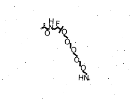 CNCCOCCOCCOCCOCCOC(C)(C)C(F)CNC(=O)C(C)C